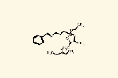 CCNCC.CCO[Si](CCCN=Cc1ccccc1)(OCC)OCC